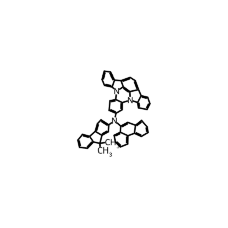 CC1(C)c2ccccc2-c2ccc(N(c3ccc4c(c3)n3c5ccccc5c5ccc6c7ccccc7n4c6c53)c3cc4ccccc4c4ccccc34)cc21